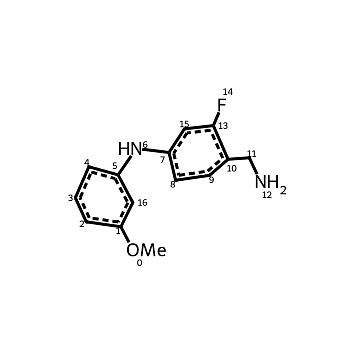 COc1cccc(Nc2ccc(CN)c(F)c2)c1